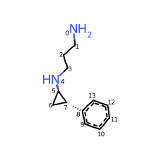 NCCCN[C@@H]1C[C@H]1c1ccccc1